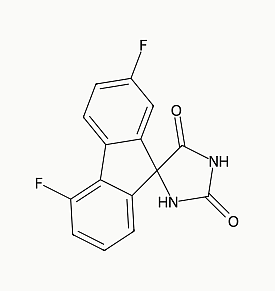 O=C1NC(=O)C2(N1)c1cc(F)ccc1-c1c(F)cccc12